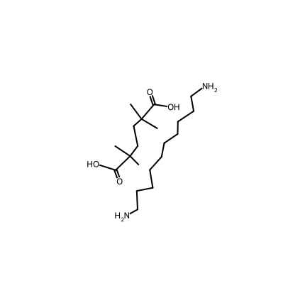 CC(C)(CCC(C)(C)C(=O)O)C(=O)O.NCCCCCCCCCCN